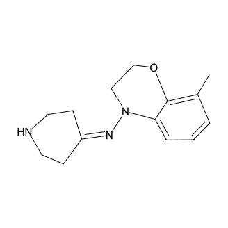 Cc1cccc2c1OCCN2N=C1CCNCC1